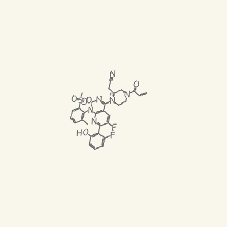 C=CC(=O)N1CCN(c2nc(=O)n(-c3c(C)cccc3S(C)(=O)=O)c3nc(-c4c(O)cccc4F)c(F)cc23)[C@@H](CC#N)C1